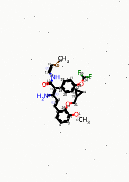 COc1cccc(/C=C/C(N)=C(/C(=O)N/C=C\SC)c2ccc(OC(F)F)cc2)c1OCC1CC1